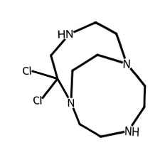 ClC1(Cl)CNCCN2CCNCCN1CC2